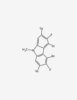 [2H]c1cc2c(c([2H])c1F)c1c([2H])c(F)c([2H])cc1n2C